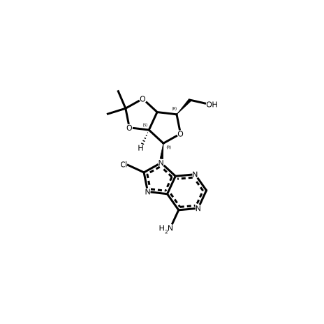 CC1(C)OC2[C@@H](CO)O[C@@H](n3c(Cl)nc4c(N)ncnc43)[C@H]2O1